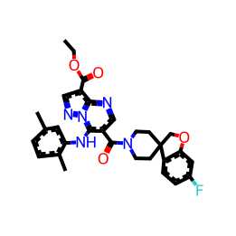 CCOC(=O)c1cnn2c(Nc3cc(C)ccc3C)c(C(=O)N3CCC4(CC3)COc3cc(F)ccc34)cnc12